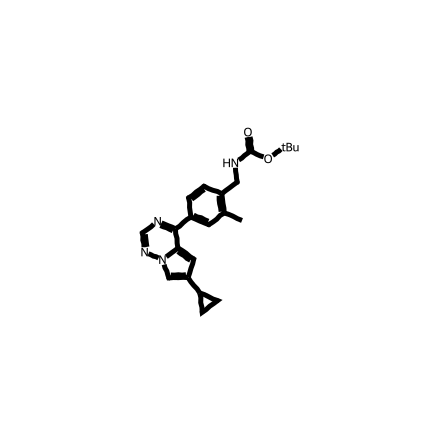 Cc1cc(-c2ncnn3cc(C4CC4)cc23)ccc1CNC(=O)OC(C)(C)C